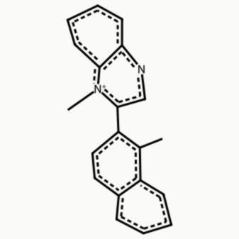 Cc1c(-c2cnc3ccccc3[n+]2C)ccc2ccccc12